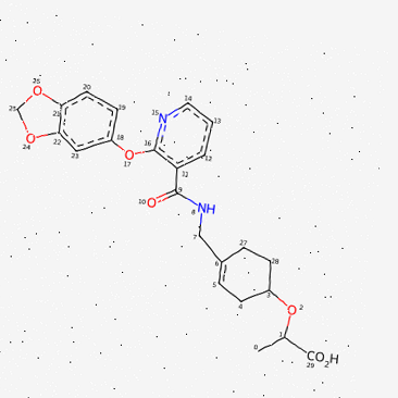 CC(OC1CC=C(CNC(=O)c2cccnc2Oc2ccc3c(c2)OCO3)CC1)C(=O)O